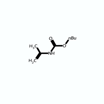 C=C(C)NC(=O)OCCCC